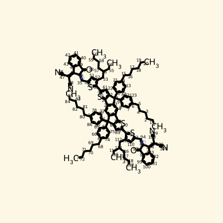 CCCCCCc1ccc(C2(c3ccc(CCCCCC)cc3)c3cc4c(cc3-c3sc(-c5sc(/C=C6\C(=O)c7ccccc7C6=C(C#N)C#N)cc5CC(CC)CCCC)cc32)C(c2ccc(CCCCCC)cc2)(c2ccc(CCCCCC)cc2)c2cc(-c3sc(/C=C5\C(=O)c6ccccc6C5=C(C#N)C#N)cc3CC(CC)CCCC)sc2-4)cc1